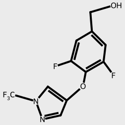 OCc1cc(F)c(Oc2cnn(C(F)(F)F)c2)c(F)c1